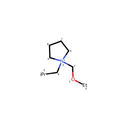 CCOC[N+]1(CC(C)C)CCCC1